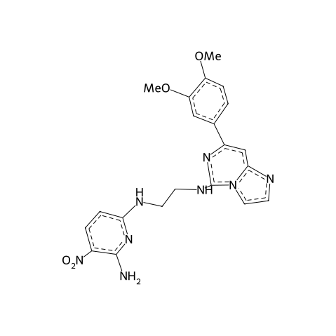 COc1ccc(-c2cc3nccn3c(NCCNc3ccc([N+](=O)[O-])c(N)n3)n2)cc1OC